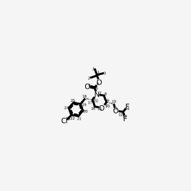 CC(C)(C)OC(=O)N1C[C@H](COC(F)F)OC[C@@H]1Cc1ccc(Cl)cc1